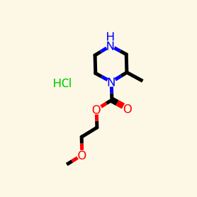 COCCOC(=O)N1CCNCC1C.Cl